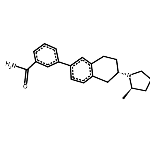 C[C@@H]1CCCN1[C@H]1CCc2cc(-c3cccc(C(N)=O)c3)ccc2C1